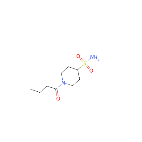 CCCC(=O)N1CCC(S(N)(=O)=O)CC1